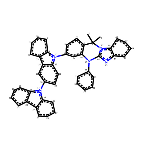 CC1(C)c2ccc(-n3c4ccccc4c4cc(-n5c6ccccc6c6ccccc65)ccc43)cc2N(c2ccccc2)c2nc3ccccc3n21